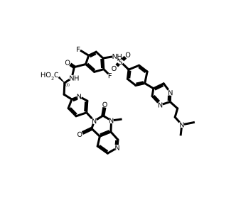 CN(C)CCc1ncc(-c2ccc(S(=O)(=O)Nc3cc(F)c(C(=O)N[C@@H](Cc4ccc(-n5c(=O)c6ccncc6n(C)c5=O)cn4)C(=O)O)cc3F)cc2)cn1